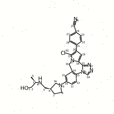 C[C@H](CO)NC[C@@H]1CCN(c2ccc3c(c2)Cn2c(cc(-c4ccc(C#N)cc4)c2Cl)-c2nncn2-3)C1